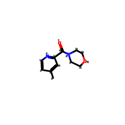 Cc1ccnc(C(=O)N2CCOCC2)c1